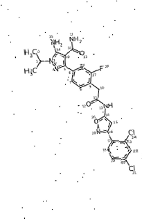 CC(C)n1nc(-c2ccc(CC(=O)Nc3cc(-c4ccc(Cl)cc4Cl)no3)c(F)c2)c(C(N)=O)c1N